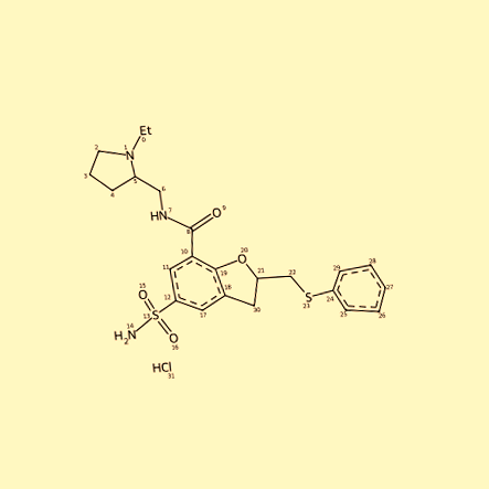 CCN1CCCC1CNC(=O)c1cc(S(N)(=O)=O)cc2c1OC(CSc1ccccc1)C2.Cl